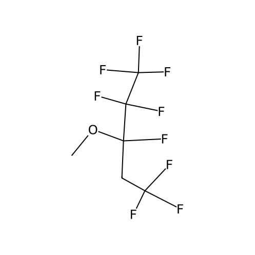 COC(F)(CC(F)(F)F)C(F)(F)C(F)(F)F